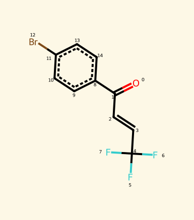 O=C(/C=C/C(F)(F)F)c1ccc(Br)cc1